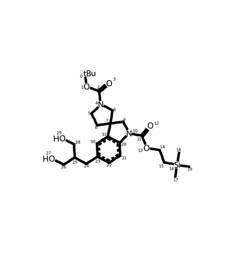 CC(C)(C)OC(=O)N1CCC2(C1)CN(C(=O)OCC[Si](C)(C)C)c1ccc(CC(CO)CO)cc12